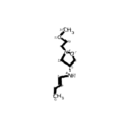 CC/C=C/N[C@H]1CON(CCOC)C1